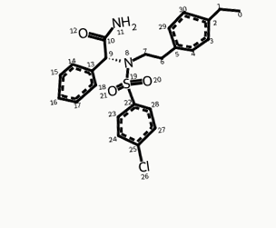 CCc1ccc(CCN([C@@H](C(N)=O)c2ccccc2)S(=O)(=O)c2ccc(Cl)cc2)cc1